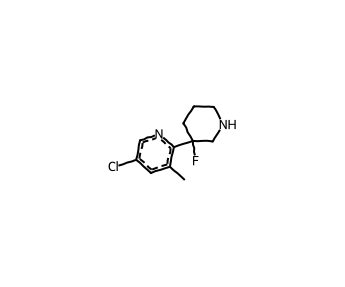 Cc1cc(Cl)cnc1C1(F)CCCNC1